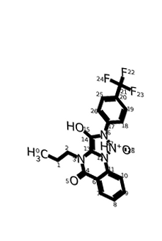 CCCN1C(=O)c2ccccc2N2C1=C(O)N(c1ccc(C(F)(F)F)cc1)[NH+]2[O-]